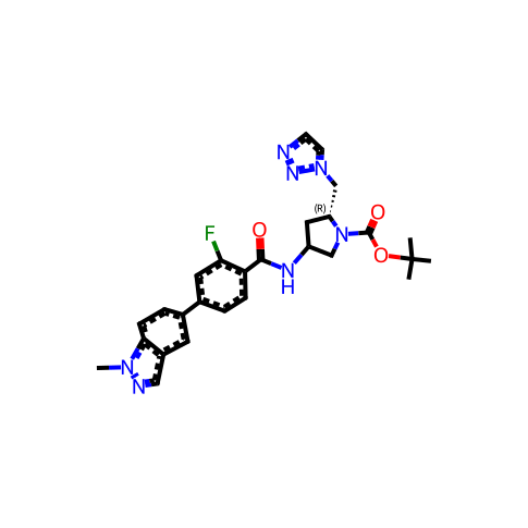 Cn1ncc2cc(-c3ccc(C(=O)NC4C[C@H](Cn5ccnn5)N(C(=O)OC(C)(C)C)C4)c(F)c3)ccc21